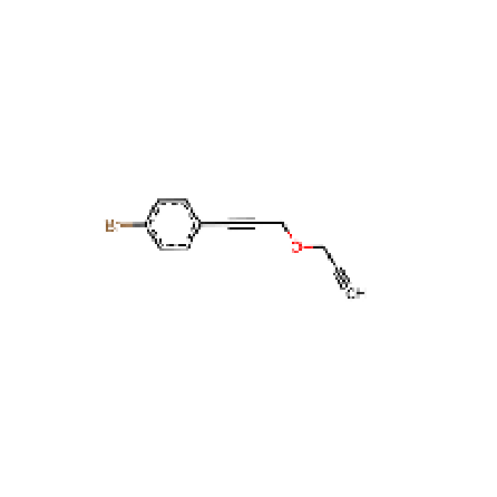 C#CCOCC#Cc1ccc(Br)cc1